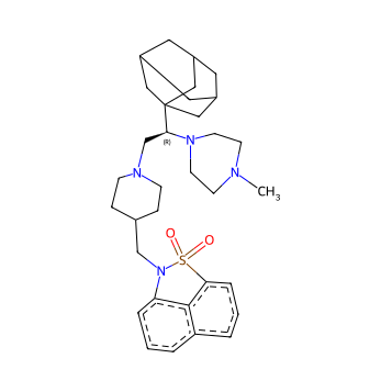 CN1CCN([C@@H](CN2CCC(CN3c4cccc5cccc(c45)S3(=O)=O)CC2)C23CC4CC(CC(C4)C2)C3)CC1